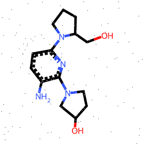 Nc1ccc(N2CCCC2CO)nc1N1CCC(O)C1